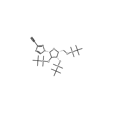 C#Cc1ncn([C@@H]2O[C@H](CO[Si](C)(C)C(C)(C)C)[C@H](O[Si](C)(C)C(C)(C)C)C2O[Si](C)(C)C(C)(C)C)n1